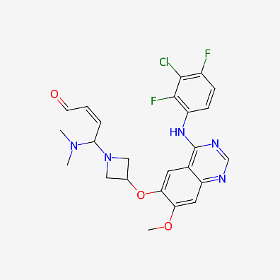 COc1cc2ncnc(Nc3ccc(F)c(Cl)c3F)c2cc1OC1CN(C(/C=C\C=O)N(C)C)C1